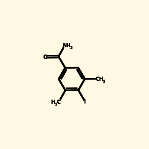 Cc1cc(C(N)=O)cc(C)c1I